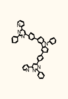 c1ccc(-c2nc(-c3ccc(-c4ccc5c(c4)c4cc(-c6ccc(-c7cc(-c8ccccn8)nc(-c8ccccc8)n7)cc6)ccc4n5-c4ccccc4)cc3)cc(-c3ccccn3)n2)cc1